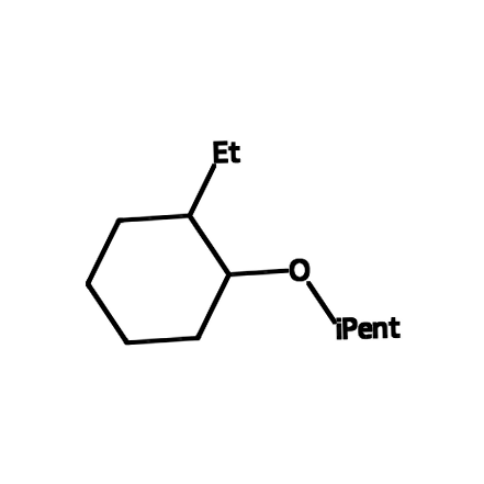 CCCC(C)OC1CCCCC1CC